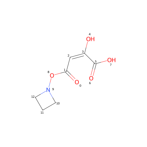 O=C(/C=C(/O)C(=O)O)ON1CCC1